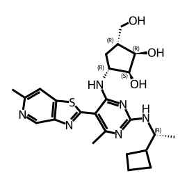 Cc1cc2sc(-c3c(C)nc(N[C@H](C)C4CCC4)nc3N[C@@H]3C[C@H](CO)[C@@H](O)[C@H]3O)nc2cn1